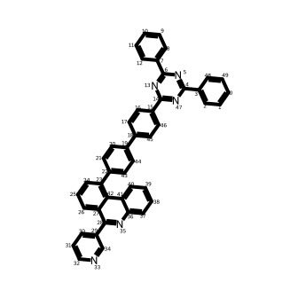 c1ccc(-c2nc(-c3ccccc3)nc(-c3ccc(-c4ccc(-c5cccc6c(-c7cccnc7)nc7ccccc7c56)cc4)cc3)n2)cc1